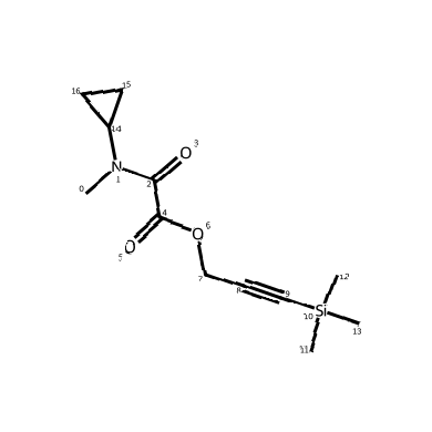 CN(C(=O)C(=O)OCC#C[Si](C)(C)C)C1CC1